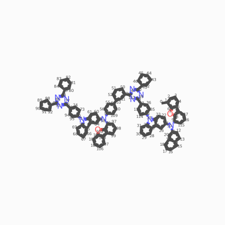 Cc1cccc2c1oc1c(N(c3ccc4ccccc4c3)c3ccc4c(c3)c3ccccc3n4-c3ccc(-c4nc(-c5ccccc5)nc(-c5cccc(-c6ccc(N(c7ccc8c(c7)c7ccccc7n8-c7ccc(-c8nc(-c9ccccc9)nc(-c9ccccc9)n8)cc7)c7cccc8c7oc7ccccc78)cc6)c5)n4)cc3)cccc12